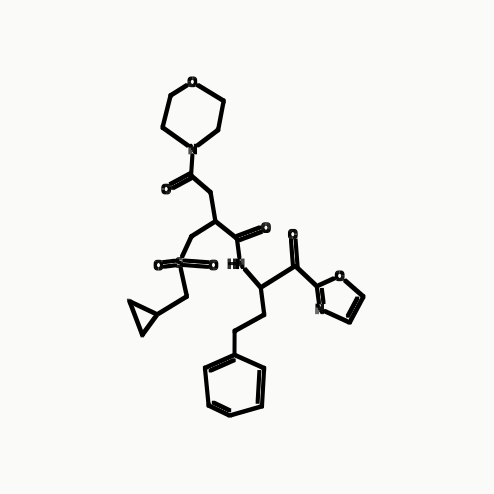 O=C(NC(CCc1ccccc1)C(=O)c1ncco1)C(CC(=O)N1CCOCC1)CS(=O)(=O)CC1CC1